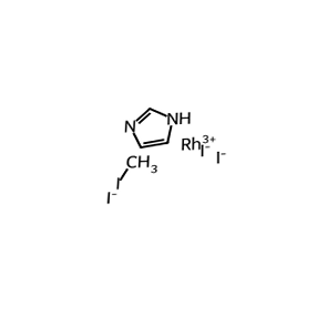 CI.[I-].[I-].[I-].[Rh+3].c1c[nH]cn1